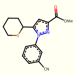 COC(=O)c1cc(C2CCCCS2)n(-c2cccc(C#N)c2)n1